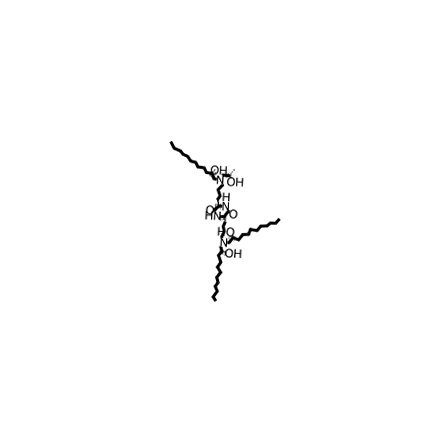 CCCCCCCCCC[C@@H](O)CN(CCCC[C@@H]1NC(=O)[C@@H](CCCCN(C[C@@H](O)CCCCCCCCCC)C[C@H](C)O)NC1=O)C[C@@H](O)CCCCCCCCCC